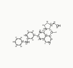 COc1cncc2nc(-c3ccnc(Nc4ccccc4)c3)nc(N3CC[C@@H](CO)C3)c12